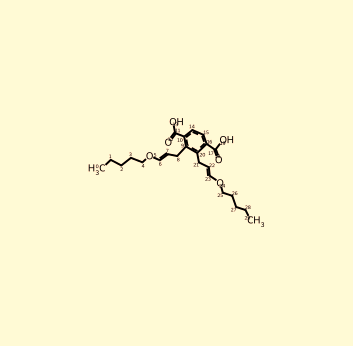 CCCCCOC=CCc1c(C(=O)O)ccc(C(=O)O)c1CC=COCCCCC